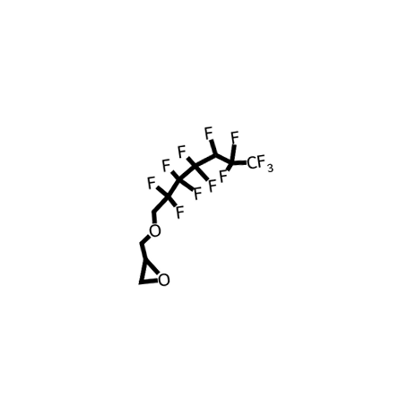 FC(C(F)(F)C(F)(F)F)C(F)(F)C(F)(F)C(F)(F)COCC1CO1